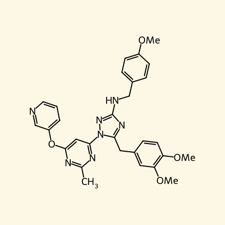 COc1ccc(CNc2nc(Cc3ccc(OC)c(OC)c3)n(-c3cc(Oc4cccnc4)nc(C)n3)n2)cc1